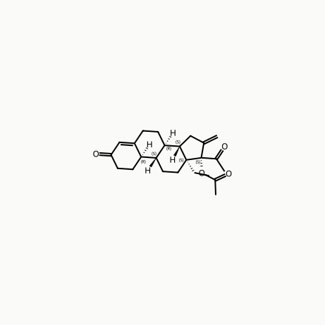 C=C1C[C@H]2[C@@H]3CCC4=CC(=O)CC[C@@H]4[C@H]3CC[C@]2(CC)[C@]1(OC(C)=O)C(C)=O